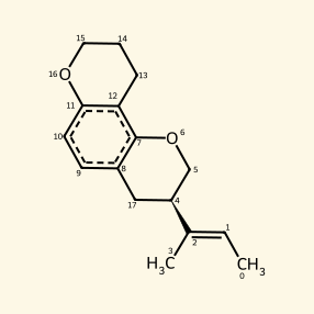 C/C=C(\C)[C@@H]1COc2c(ccc3c2CCCO3)C1